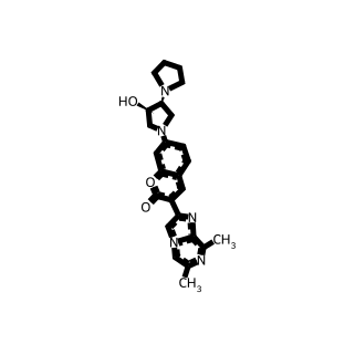 Cc1cn2cc(-c3cc4ccc(N5C[C@@H](O)[C@H](N6CCCC6)C5)cc4oc3=O)nc2c(C)n1